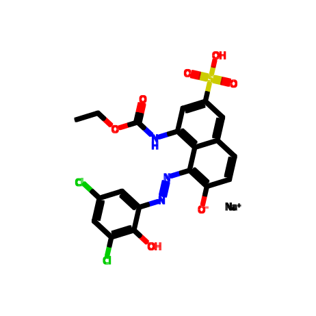 CCOC(=O)Nc1cc(S(=O)(=O)O)cc2ccc([O-])c(N=Nc3cc(Cl)cc(Cl)c3O)c12.[Na+]